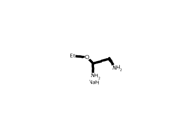 CCOC(N)CN.[NaH]